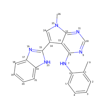 Cc1ccccc1Nc1ncnc2c1c(-c1nc3ccccc3[nH]1)cn2C